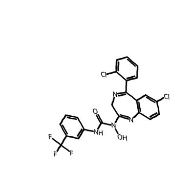 O=C(Nc1cccc(C(F)(F)F)c1)N(O)C1=Nc2ccc(Cl)cc2C(c2ccccc2Cl)=NC1